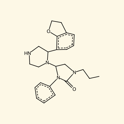 CCCN1CC(N2CCNCC2c2cccc3c2OCC3)N(c2ccccc2)C1=O